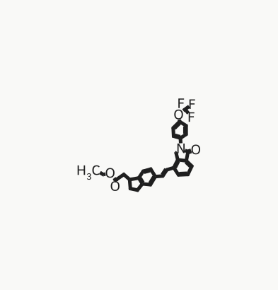 CCOC(=O)CC1CCc2cc(/C=C/c3cccc4c3CN(c3ccc(OC(F)(F)F)cc3)C4=O)ccc21